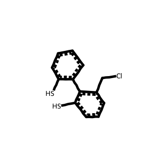 Sc1ccccc1-c1c(S)cccc1CCl